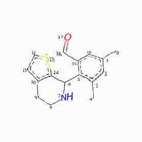 Cc1cc(C)c(C2NCCc3ccsc32)c(C=O)c1